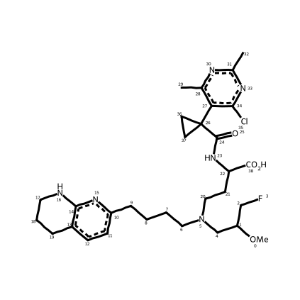 COC(CF)CN(CCCCc1ccc2c(n1)NCCC2)CCC(NC(=O)C1(c2c(C)nc(C)nc2Cl)CC1)C(=O)O